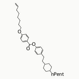 C=CCCCCCCOc1ccc(C(=O)Oc2ccc(CCC3CCC(CCCCC)CC3)cc2)cc1